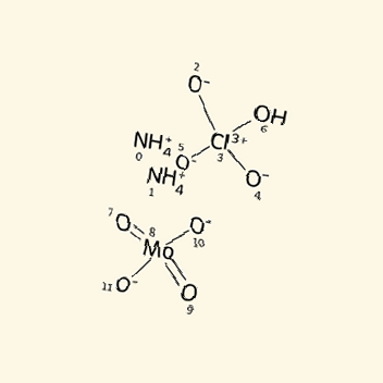 [NH4+].[NH4+].[O-][Cl+3]([O-])([O-])O.[O]=[Mo](=[O])([O-])[O-]